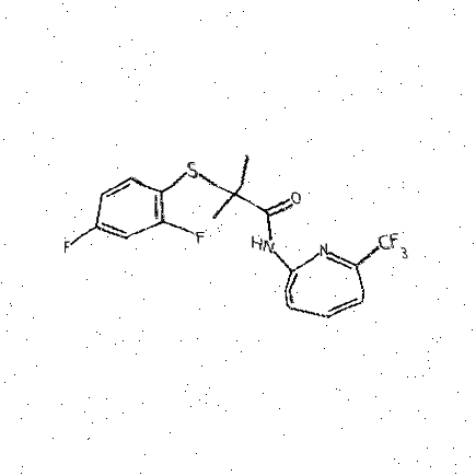 CC(C)(Sc1ccc(F)cc1F)C(=O)Nc1cccc(C(F)(F)F)n1